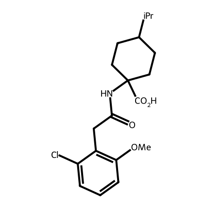 COc1cccc(Cl)c1CC(=O)NC1(C(=O)O)CCC(C(C)C)CC1